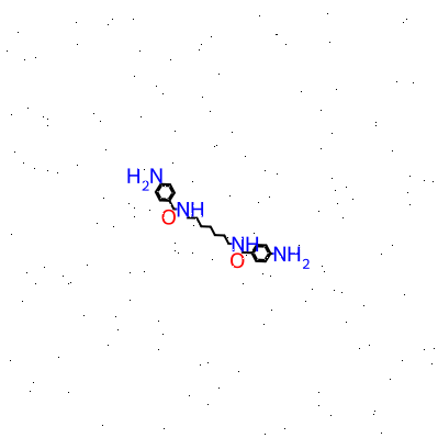 Nc1ccc(C(=O)NCCCCCCCNC(=O)c2ccc(N)cc2)cc1